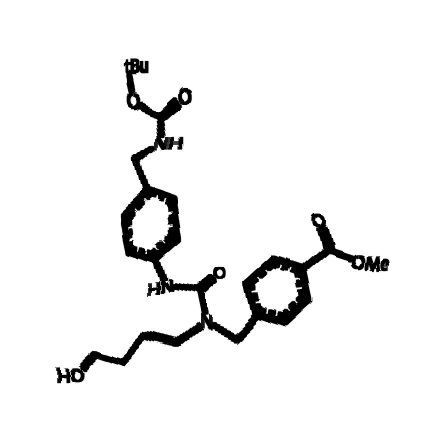 COC(=O)c1ccc(CN(CCCCO)C(=O)Nc2ccc(CNC(=O)OC(C)(C)C)cc2)cc1